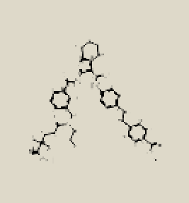 CCCN(Cc1cccc(C(=O)Nc2sc3c(c2C(=O)Nc2ccc(CCc4ccc(C(=O)OC)cc4)cc2)CCCC3)c1)C(=O)CCC(C)(C)C(=O)O